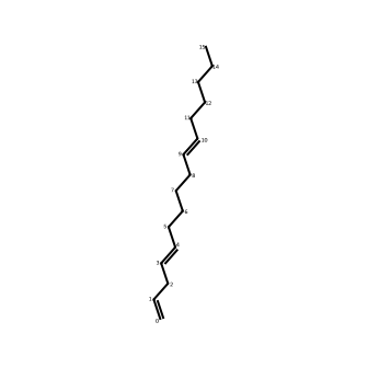 C=CCC=CCCCCC=CCCCCC